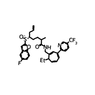 C=CCC(CCC(C)C(=O)NCC1=CC(c2ccc(C(F)(F)F)cn2)=CC=CC1CC)[S+]([O-])c1cc2cc(F)ccc2o1